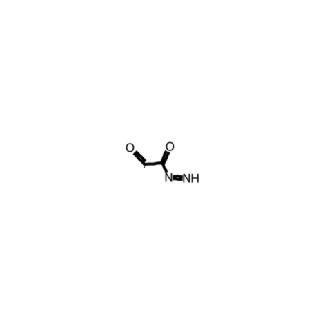 N=NC(=O)[C]=O